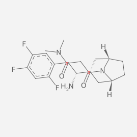 CN(C)C(=O)CC(=O)N1[C@@H]2CC[C@H]1C[C@@H]([C@H](N)Cc1cc(F)c(F)cc1F)C2